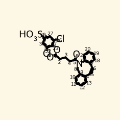 O=C(CCCC(=O)N1Cc2ccccc2C#Cc2ccccc21)Oc1c(Cl)cc(S(=O)(=O)O)cc1Cl